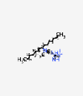 CCCCCCCC(CCCCCCC)N(C)CCNC(=N)N